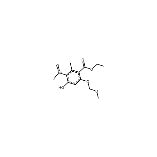 CCOC(=O)c1c(OCOC)cc(O)c([N+](=O)[O-])c1C